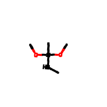 CB[Si](C)(OC)OC